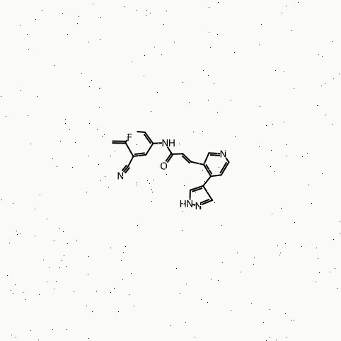 C=C(F)/C(C#N)=C\C(=C/C)NC(=O)/C=C/c1cnccc1-c1cn[nH]c1